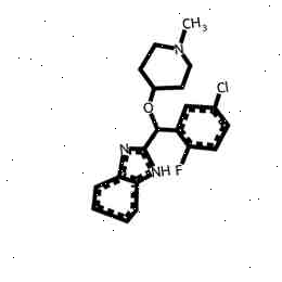 CN1CCC(OC(c2nc3ccccc3[nH]2)c2cc(Cl)ccc2F)CC1